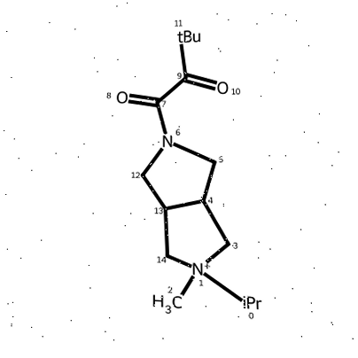 CC(C)[N+]1(C)CC2CN(C(=O)C(=O)C(C)(C)C)CC2C1